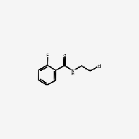 O=C(NCCCl)c1ccccc1F